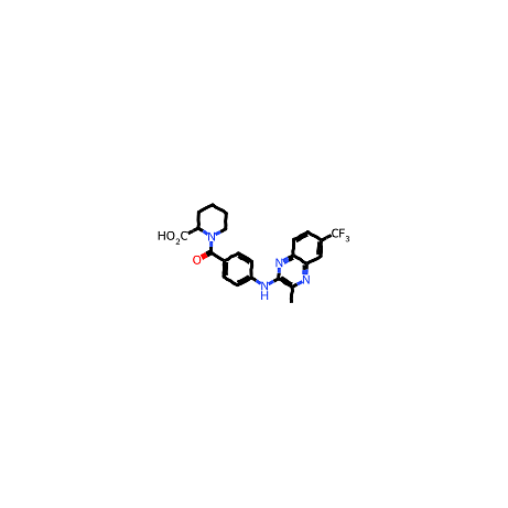 Cc1nc2cc(C(F)(F)F)ccc2nc1Nc1ccc(C(=O)N2CCCCC2C(=O)O)cc1